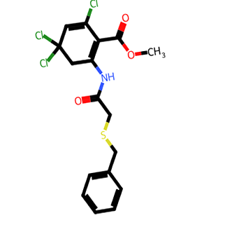 COC(=O)C1=C(NC(=O)CSCc2ccccc2)CC(Cl)(Cl)C=C1Cl